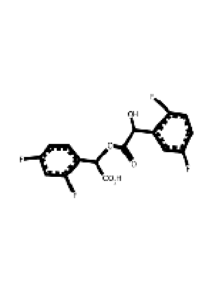 O=C(OC(C(=O)O)c1ccc(F)cc1F)C(O)c1cc(F)ccc1F